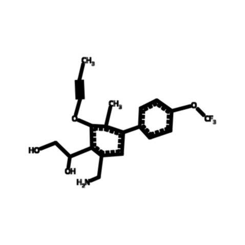 CC#COc1c(C)c(-c2ccc(OC(F)(F)F)cc2)cc(CN)c1C(O)CO